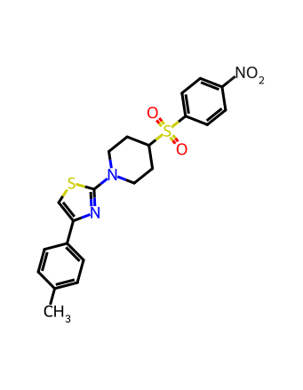 Cc1ccc(-c2csc(N3CCC(S(=O)(=O)c4ccc([N+](=O)[O-])cc4)CC3)n2)cc1